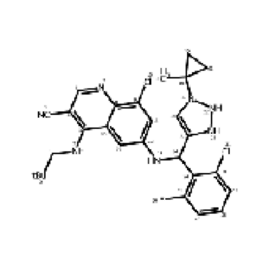 CC(C)(C)CNc1c(C#N)cnc2c(Cl)cc(NC(C3=CN(C4(C)CC4)NN3)c3c(F)cccc3Cl)cc12